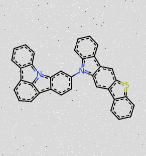 c1ccc2c(c1)sc1cc3c4ccccc4n(-c4ccc5c6cccc7c8ccccc8n(c5c4)c76)c3cc12